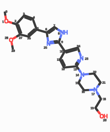 COc1ccc(-c2c[nH]c(-c3ccc(N4CCN(CCO)CC4)nc3)n2)cc1OC